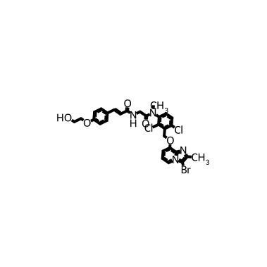 Cc1nc2c(OCc3c(Cl)ccc(N(C)C(=O)CNC(=O)C=Cc4ccc(OCCO)cc4)c3Cl)cccn2c1Br